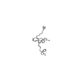 CCOC(=O)CCCOc1cccc(CCCCCCBr)c1CC(=O)OCC